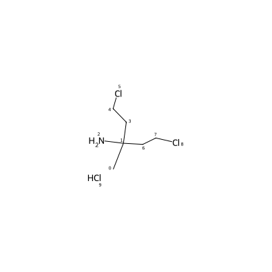 CC(N)(CCCl)CCCl.Cl